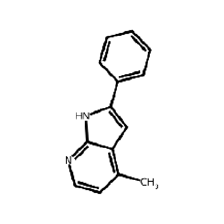 Cc1ccnc2[nH]c(-c3ccccc3)cc12